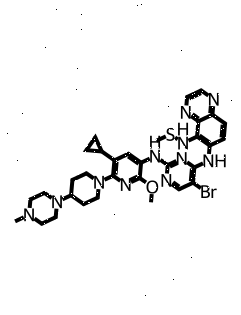 COc1nc(N2CCC(N3CCN(C)CC3)CC2)c(C2CC2)cc1Nc1ncc(Br)c(Nc2ccc3nccnc3c2NSC)n1